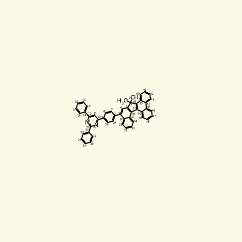 CC1(C)c2cc(-c3ccc(-c4cc(-c5ccccc5)nc(-c5ccccc5)n4)cc3)c3ccccc3c2-c2c1c1ccccc1c1ccccc21